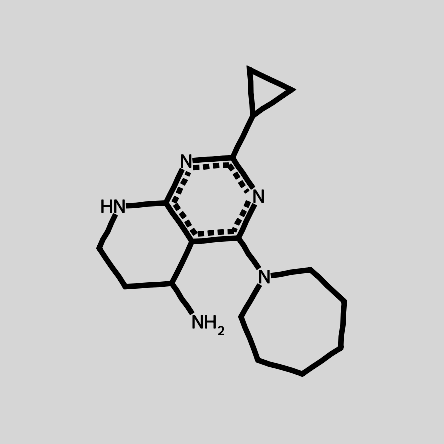 NC1CCNc2nc(C3CC3)nc(N3CCCCCC3)c21